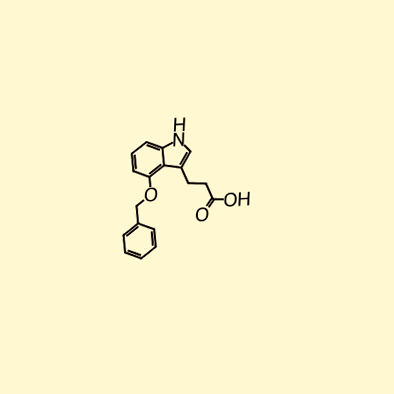 O=C(O)CCc1c[nH]c2cccc(OCc3ccccc3)c12